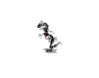 Cc1c(-c2ccc(-c3ccc4c(c3)N(C(=O)Nc3nc5ccccc5s3)CCC4)nc2C(=O)O)cnn1CC12CC3(C)CC(C)(C1)CC(OCCN(C)C(=O)OC/C=C/c1ccc(O[C@@H]4O[C@H](C(=O)O)[C@@H](O)[C@H](O)[C@H]4O)c(NC(=O)CCN)c1)(C3)C2